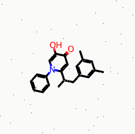 Cc1cc(C)cc(CC(C)c2cc(=O)c(O)cn2-c2ccccc2)c1